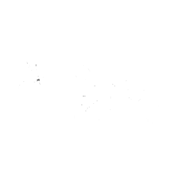 COC(=O)C(C)(CN1CC(Oc2ccc(CCB3O[C@@H]4C[C@@H]5C[C@@H](C5(C)C)[C@]4(C)O3)c(OC(=O)OC(C)(C)C)c2C(=O)OC(C)(C)C)C1)NC(=O)OC(C)(C)C